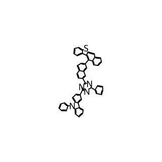 c1ccc(-c2nc(-c3ccc4ccc(-c5c6ccccc6cc6sc7ccccc7c56)cc4c3)nc(-c3ccc4c(c3)c3ccccc3n4-c3ccccc3)n2)cc1